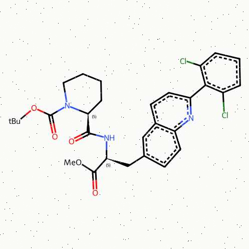 COC(=O)[C@H](Cc1ccc2nc(-c3c(Cl)cccc3Cl)ccc2c1)NC(=O)[C@@H]1CCCCN1C(=O)OC(C)(C)C